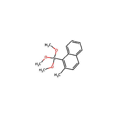 CO[Si](OC)(OC)c1c(C)ccc2ccccc12